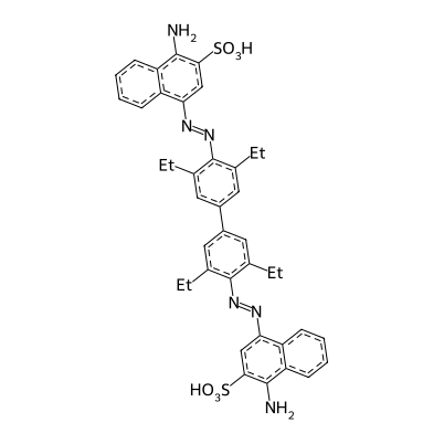 CCc1cc(-c2cc(CC)c(/N=N/c3cc(S(=O)(=O)O)c(N)c4ccccc34)c(CC)c2)cc(CC)c1/N=N/c1cc(S(=O)(=O)O)c(N)c2ccccc12